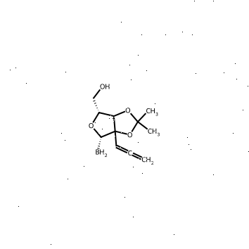 B[C@@H]1O[C@H](CO)C2OC(C)(C)OC21C=C=C